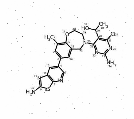 Cc1cc(-c2cnc3sc(N)nc3c2)cc2c1OCCN(c1nc(N)nc(Cl)c1C(C)O)C2